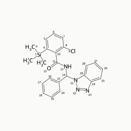 C[Si](C)(C)c1cccc(Cl)c1C(=O)NC(c1ccccc1)n1nnc2ccccc21